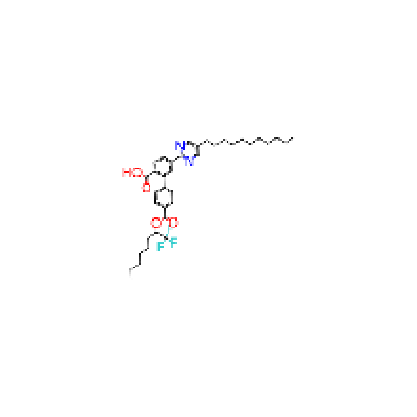 CCCCCCCCCCCc1cnc(-c2ccc(C(=O)O)c(-c3ccc(C(=O)OC(CCCCCC)C(F)(F)F)cc3)c2)nc1